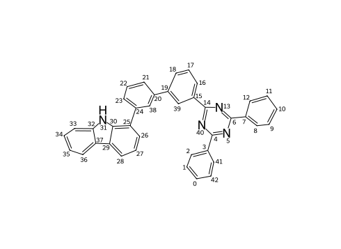 c1ccc(-c2nc(-c3ccccc3)nc(-c3cccc(-c4cccc(-c5cccc6c5[nH]c5ccccc56)c4)c3)n2)cc1